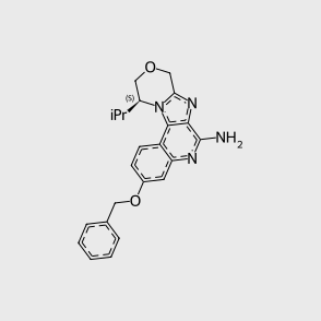 CC(C)[C@H]1COCc2nc3c(N)nc4cc(OCc5ccccc5)ccc4c3n21